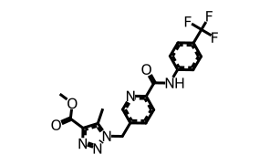 COC(=O)c1nnn(Cc2ccc(C(=O)Nc3ccc(C(F)(F)F)cc3)nc2)c1C